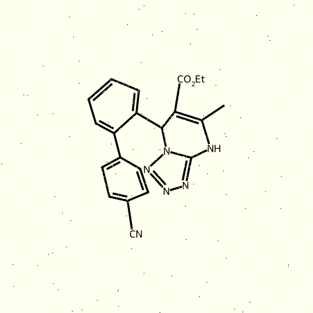 CCOC(=O)C1=C(C)Nc2nnnn2C1c1ccccc1-c1ccc(C#N)cc1